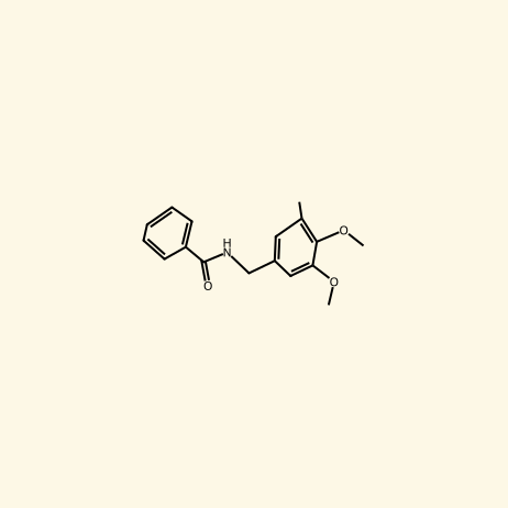 COc1cc(CNC(=O)c2ccccc2)cc(C)c1OC